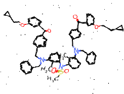 Cc1c(N(Cc2ccccc2)Cc2ccc(C(=O)c3cccc(OCCC4CC4)c3)cc2)cccc1N(c1cccc(N(Cc2ccccc2)Cc2ccc(C(=O)c3cccc(OCCC4CC4)c3)cc2)c1C)S(C)(=O)=O